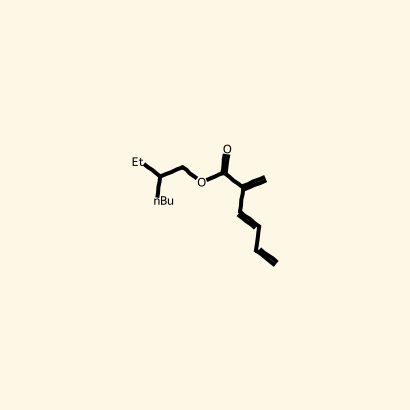 C=CC=CC(=C)C(=O)OCC(CC)CCCC